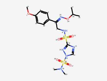 COc1ccc(/C(CNS(=O)(=O)c2ncn(S(=O)(=O)N(C)C)n2)=N/OC(C)C)cc1